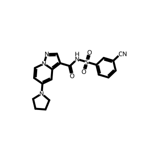 N#Cc1cccc(S(=O)(=O)NC(=O)c2cnn3ccc(N4CCCC4)cc23)c1